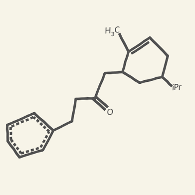 CC1=CCC(C(C)C)CC1CC(=O)CCc1ccccc1